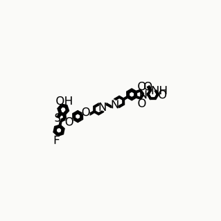 O=C1CCC(N2C(=O)c3ccc(C4CCN(CCN5CCC(COc6ccc(Oc7c(-c8ccc(F)cc8)sc8cc(O)ccc78)cc6)CC5)CC4)cc3C2=O)C(=O)N1